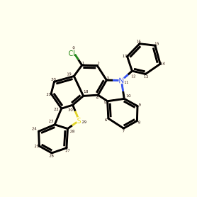 Clc1cc2c(c3ccccc3n2-c2ccccc2)c2c1ccc1c3ccccc3sc12